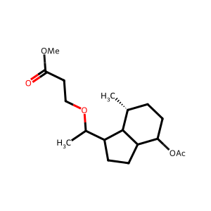 COC(=O)CCOC(C)C1CCC2C(OC(C)=O)CC[C@@H](C)C12